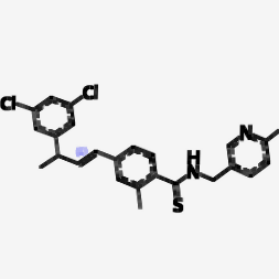 Cc1ccc(CNC(=S)c2ccc(/C=C/C(C)c3cc(Cl)cc(Cl)c3)cc2C)cn1